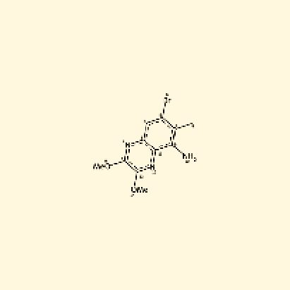 COc1nc2cc(Br)c(C)c(N)c2nc1OC